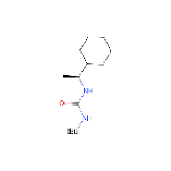 C[C@H](NC(=O)NC(C)(C)C)C1CCCCC1